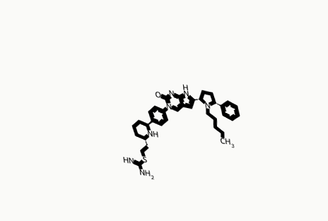 CCCCCN1[C@@H](c2ccccc2)CC[C@H]1c1cc2cn(-c3ccc([C@@H]4CCC[C@@H](CCSC(=N)N)N4)cc3)c(=O)nc2[nH]1